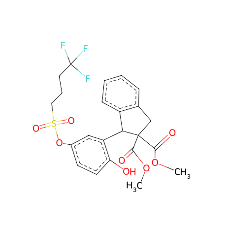 COC(=O)C1(C(=O)OC)Cc2ccccc2C1c1cc(OS(=O)(=O)CCCC(F)(F)F)ccc1O